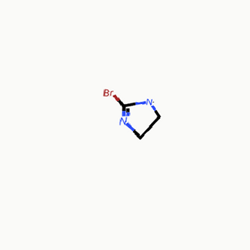 BrC1=NCC[N]1